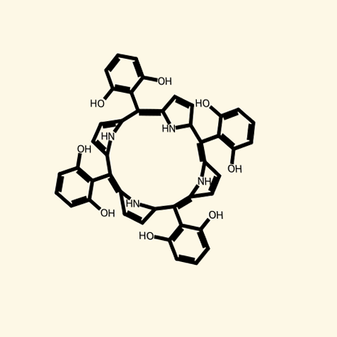 Oc1cccc(O)c1/C1=C2\C=CC(N2)/C(c2c(O)cccc2O)=c2/cc/c([nH]2)=C(\c2c(O)cccc2O)C2C=C/C(=C(\c3c(O)cccc3O)c3ccc1[nH]3)N2